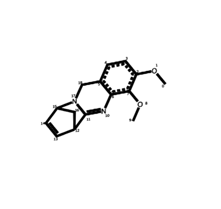 COc1ccc2c(c1OC)N=C1C3C=CC(C3)N1C2